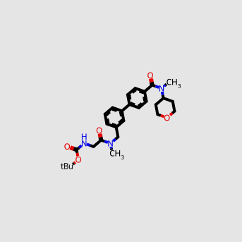 CN(Cc1cccc(-c2ccc(C(=O)N(C)C3CCOCC3)cc2)c1)C(=O)CNC(=O)OC(C)(C)C